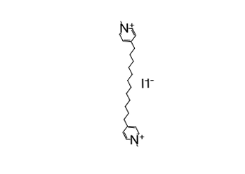 C[n+]1ccc(CCCCCCCCCCCCc2cc[n+](C)cc2)cc1.[I-].[I-]